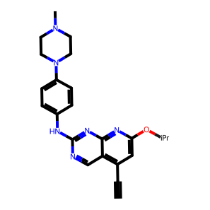 C#Cc1cc(OC(C)C)nc2nc(Nc3ccc(N4CCN(C)CC4)cc3)ncc12